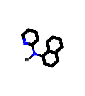 CC(C)N(c1ccccn1)c1cccc2ccccc12